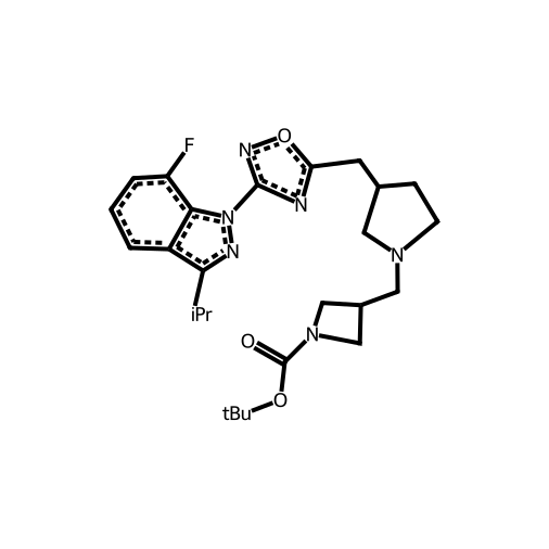 CC(C)c1nn(-c2noc(CC3CCN(CC4CN(C(=O)OC(C)(C)C)C4)C3)n2)c2c(F)cccc12